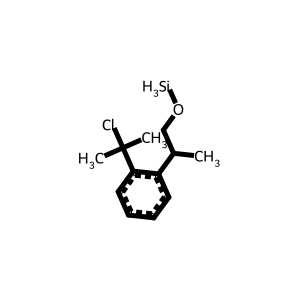 CC(CO[SiH3])c1ccccc1C(C)(C)Cl